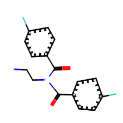 NCCN(C(=O)c1ccc(F)cc1)C(=O)c1ccc(F)cc1